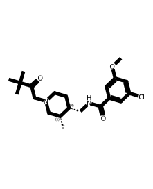 COc1cc(Cl)cc(C(=O)NC[C@H]2CCN(CC(=O)C(C)(C)C)C[C@H]2F)c1